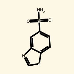 NS(=O)(=O)c1ccc2scnc2c1